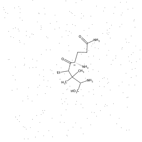 CCC(C(=O)[C@@H](N)CCC(N)=O)C(C)(C)C(N)C(=O)O